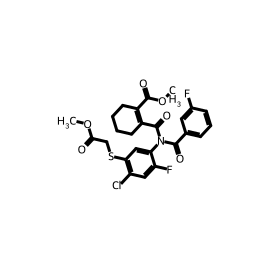 COC(=O)CSc1cc(N(C(=O)C2=C(C(=O)OC)CCCC2)C(=O)c2cccc(F)c2)c(F)cc1Cl